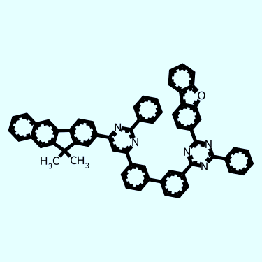 CC1(C)c2cc(-c3cc(-c4cccc(-c5cccc(-c6nc(-c7ccccc7)nc(-c7ccc8c(c7)oc7ccccc78)n6)c5)c4)nc(-c4ccccc4)n3)ccc2-c2cc3ccccc3cc21